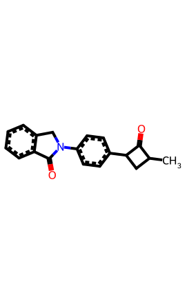 CC1CC(c2ccc(N3Cc4ccccc4C3=O)cc2)C1=O